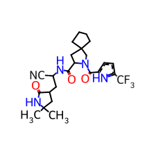 CC1(C)CC(CC(C#N)NC(=O)C2CC3(CCCC3)CN2C(=O)c2ccc(C(F)(F)F)[nH]2)C(=O)N1